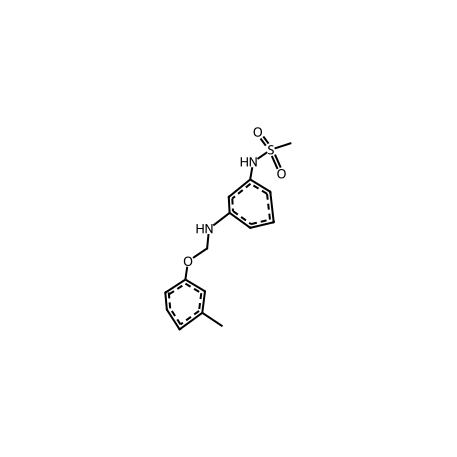 Cc1cccc(OCNc2cccc(NS(C)(=O)=O)c2)c1